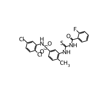 Cc1ccc(S(=O)(=O)Nc2cc(Cl)ccc2Cl)cc1NC(=S)NC(=O)c1ccccc1F